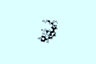 CCOC(C)n1cc(-c2ncn3nc(NC4CCNCC4)nc3c2OC(C)C)cn1